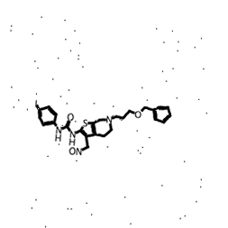 O=NCc1c(NC(=O)Nc2ccc(I)cc2)sc2c1CCN(CCCOCc1ccccc1)C2